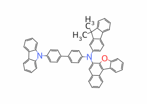 CC1(C)c2ccccc2-c2ccc(N(c3ccc(-c4ccc(-n5c6ccccc6c6ccccc65)cc4)cc3)c3cc4ccccc4c4c3oc3ccccc34)cc21